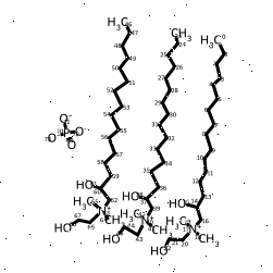 CCCCCCCCCCCCCCC(O)C[N+](C)(C)CCO.CCCCCCCCCCCCCCC(O)C[N+](C)(C)CCO.CCCCCCCCCCCCCCC(O)C[N+](C)(C)CCO.O=P([O-])([O-])[O-]